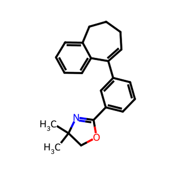 CC1(C)COC(c2cccc(C3=CCCCc4ccccc43)c2)=N1